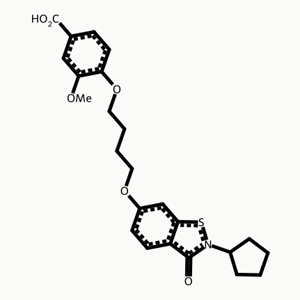 COc1cc(C(=O)O)ccc1OCCCCOc1ccc2c(=O)n(C3CCCC3)sc2c1